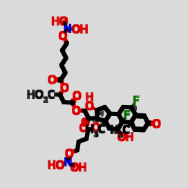 C[C@]12C=CC(=O)C=C1[C@@H](F)CC1C3C[C@@H](O)[C@](OC(=O)CCCON(O)O)(C(=O)COC(=O)CC(OC(=O)CCCCCON(O)O)C(=O)O)[C@@]3(C)C[C@H](O)[C@@]12F